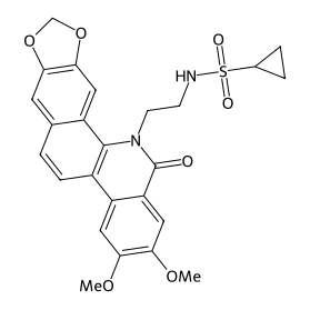 COc1cc2c(=O)n(CCNS(=O)(=O)C3CC3)c3c4cc5c(cc4ccc3c2cc1OC)OCO5